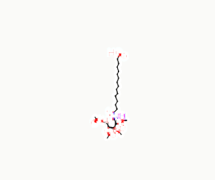 CC(=O)OC[C@H]1O[C@@H](NC(=O)CCCCCCCCCCCCCCC(=O)O)[C@H](OC(C)=O)[C@@H](OC(C)=O)[C@@H]1OC(C)=O